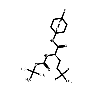 CC(F)(F)CC[C@@H](NC(=O)OC(C)(C)C)C(=O)NC12CCC(F)(CC1)CC2